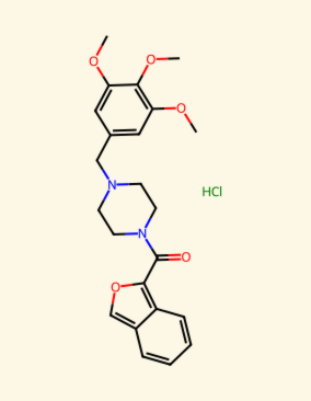 COc1cc(CN2CCN(C(=O)c3occ4ccccc34)CC2)cc(OC)c1OC.Cl